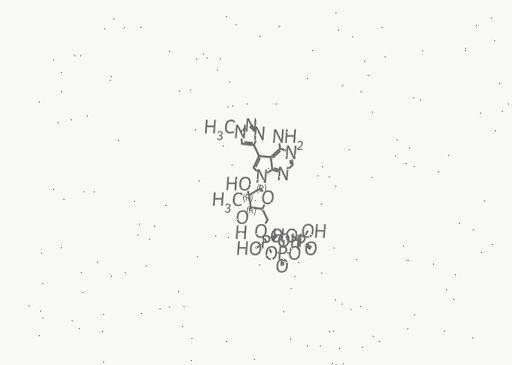 Cn1cc(-c2cn([C@@H]3OC(COP(=O)(O)OP(=O)(O)OP(=O)(O)O)[C@@H](O)[C@@]3(C)O)c3ncnc(N)c23)nn1